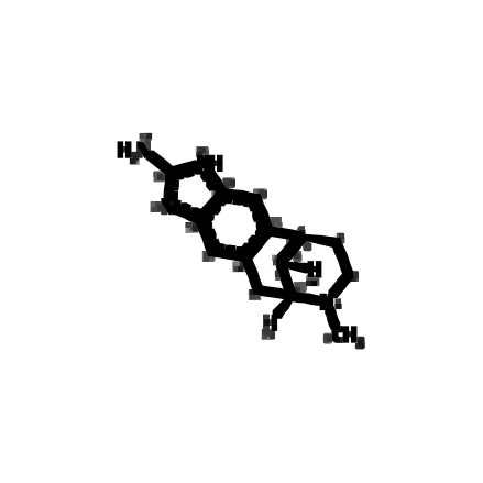 CN1CC[C@]23CCCC[C@H]2[C@H]1Cc1cc2nc(N)[nH]c2cc13